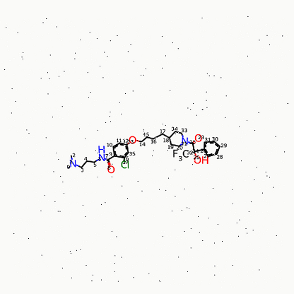 CN(C)CCCNC(=O)c1ccc(OCCCCC2CCN(C(=O)[C@](O)(c3ccccc3)C(F)(F)F)CC2)cc1Cl